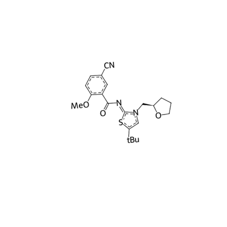 COc1ccc(C#N)cc1C(=O)/N=c1\sc(C(C)(C)C)cn1C[C@H]1CCCO1